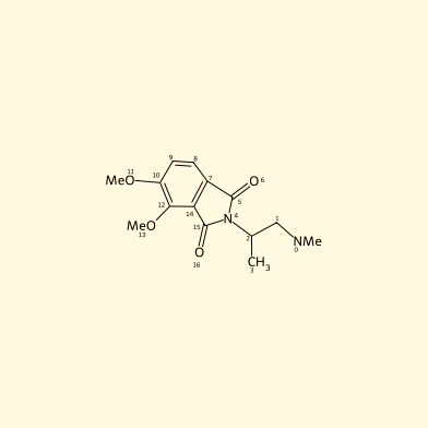 CNCC(C)N1C(=O)c2ccc(OC)c(OC)c2C1=O